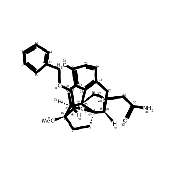 CO[C@]12CC[C@@]3(C[C@@H]1COCc1ccccc1)[C@H]1Cc4ccc(C)c5c4[C@@]3(CCN1CC(N)=O)[C@H]2O5